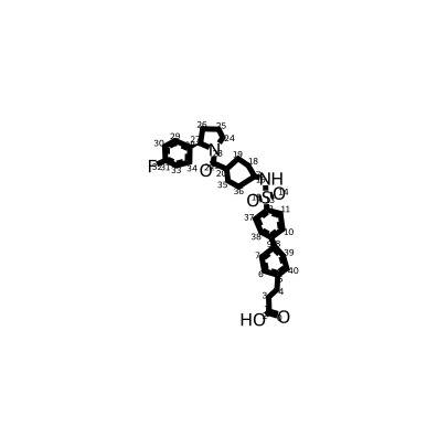 O=C(O)CCc1ccc(-c2ccc(S(=O)(=O)NC3CCC(C(=O)N4CCC[C@@H]4c4ccc(F)cc4)CC3)cc2)cc1